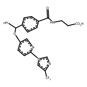 CCCC(Oc1ccc(-n2cnc(C(F)(F)F)c2)nc1)c1ccc(C(=O)NCCC(=O)O)cc1